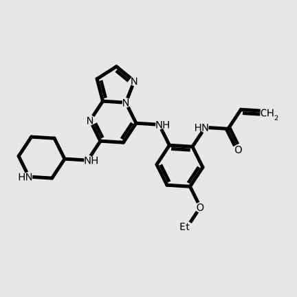 C=CC(=O)Nc1cc(OCC)ccc1Nc1cc(NC2CCCNC2)nc2ccnn12